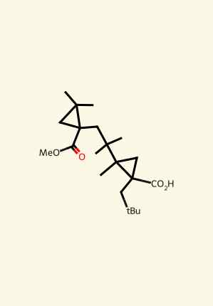 COC(=O)C1(CC(C)(C)C2(C)CC2(CC(C)(C)C)C(=O)O)CC1(C)C